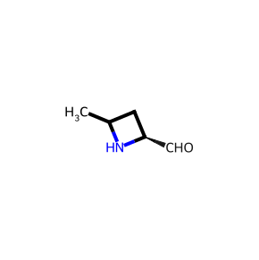 CC1C[C@@H](C=O)N1